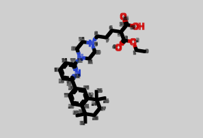 CCOC(=O)C(CCCN1CCN(c2cccc(-c3ccc4c(c3)C(C)(C)CCC4(C)C)n2)CC1)C(=O)O